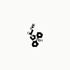 B=P(c1ccccc1)(c1ccccc1)[C@@H]1CCN(C(=O)CN=[N+]=[N-])C1